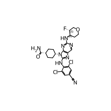 N#Cc1cc(Cl)c(Nc2nc3cnc(N[C@@H]4CCOC[C@H]4F)nc3n2[C@H]2CC[C@@H](C(N)=O)CC2)c(Cl)c1